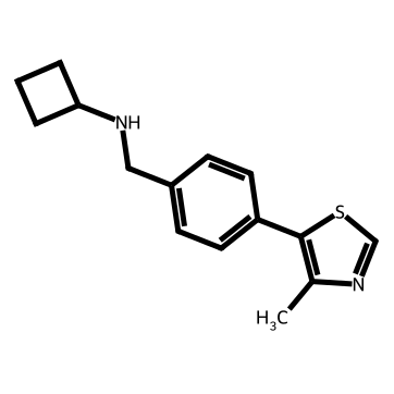 Cc1ncsc1-c1ccc(CNC2CCC2)cc1